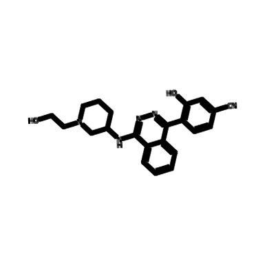 N#Cc1ccc(-c2nnc(NC3CCCN(CCO)C3)c3ccccc23)c(O)c1